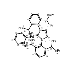 CCCC(CCC)c1cccc(C(CCC)CCC)c1-n1ccn(-c2c(C(CCC)CCC)cccc2C(CCC)CCC)[c]1=[Pd-][c]1ncccc1Cl